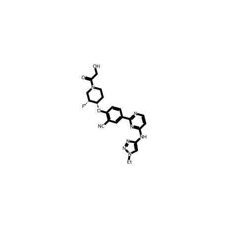 CCn1cc(Nc2ccnc(-c3ccc(O[C@H]4CCN(C(=O)CO)C[C@H]4F)c(C#N)c3)n2)nn1